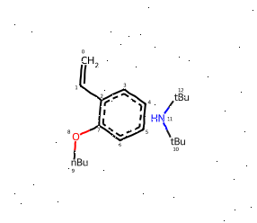 C=Cc1ccccc1OCCCC.CC(C)(C)NC(C)(C)C